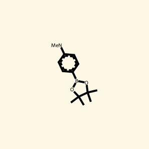 CNc1ccc(B2OC(C)(C)C(C)(C)O2)cc1